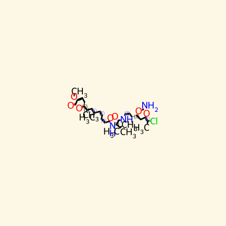 COC1=CC[C@@H]([C@@H](C)/C=C(C)/C=C\C=C/C(=O)N[C@H](C(=O)N/C=C\C[C@@H](C/C=C(\C)Cl)OC(N)=O)C(C)(C)C)OC1=O